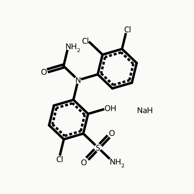 NC(=O)N(c1ccc(Cl)c(S(N)(=O)=O)c1O)c1cccc(Cl)c1Cl.[NaH]